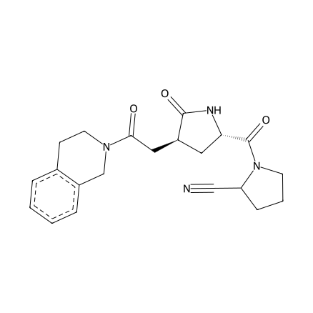 N#CC1CCCN1C(=O)[C@@H]1C[C@@H](CC(=O)N2CCc3ccccc3C2)C(=O)N1